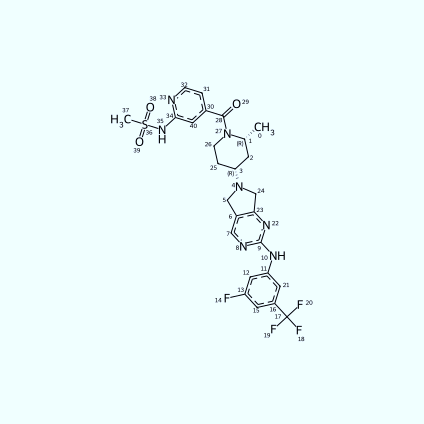 C[C@@H]1C[C@H](N2Cc3cnc(Nc4cc(F)cc(C(F)(F)F)c4)nc3C2)CCN1C(=O)c1ccnc(NS(C)(=O)=O)c1